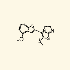 COc1cccc2sc(C3=C(SC)SC4=NCCN43)cc12